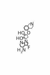 CN1CCc2c(cccc2OC2CC(n3cc(F)c4c(N)ccnc43)[C@H](O)[C@@H]2O)C1